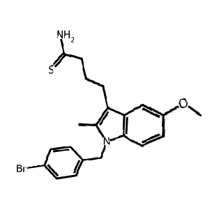 COc1ccc2c(c1)c(CCCC(N)=S)c(C)n2Cc1ccc(Br)cc1